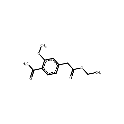 CCOC(=O)Cc1ccc(C(C)=O)c(OC)c1